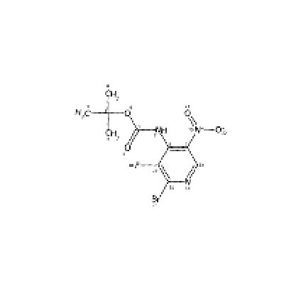 CC(C)(C)OC(=O)Nc1c([N+](=O)[O-])cnc(Br)c1F